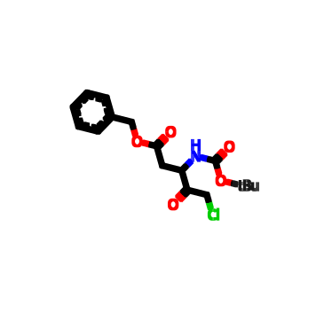 CC(C)(C)OC(=O)NC(CC(=O)OCc1ccccc1)C(=O)CCl